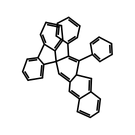 C1=C2C=c3ccccc3=CC2C(c2ccccc2)=C(c2ccccc2)C12c1ccccc1-c1ccccc12